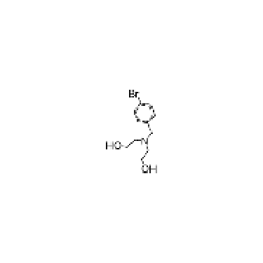 OCCN(CCO)Cc1ccc(Br)cc1